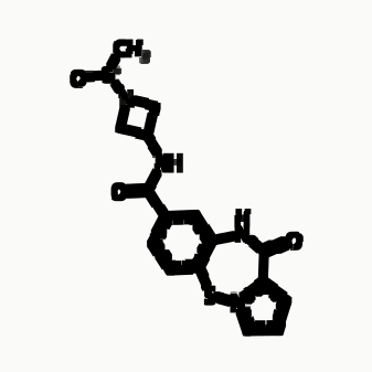 C[S+]([O-])N1CC(NC(=O)c2ccc3c(c2)NC(=O)c2cccn2S3)C1